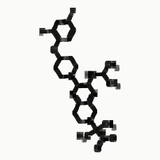 CC(C)Nc1nc2c(nc1N1CCC(Oc3ccc(F)cc3F)CC1)CCN(C(C)(C)[SH](=O)=O)C2